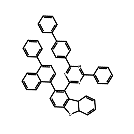 C1=CC2Oc3ccc(-c4ccc(-c5ccccc5)c5ccccc45)c(-c4nc(-c5ccccc5)nc(-c5ccc(-c6ccccc6)cc5)n4)c3C2C=C1